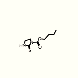 CCCCOC(=O)N1CCNC1=S